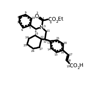 CCOC(=O)C(=O)N(Cc1ccccc1)CC(c1ccc(C=CC(=O)O)cc1)C1CCCCC1